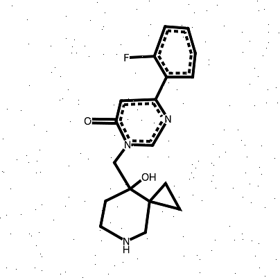 O=c1cc(-c2ccccc2F)ncn1CC1(O)CCNCC12CC2